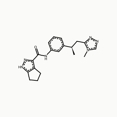 C[C@H](Cc1nncn1C)c1cccc(NC(=O)c2n[nH]c3c2CCC3)c1